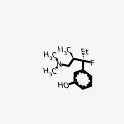 CC[C@](F)(c1cccc(O)c1)[C@H](C)CN(C)C